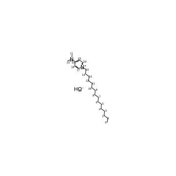 CCCCCCCCCCCCCCCC[n+]1ccc(N(C)C)cc1.[OH-]